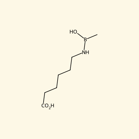 CB(O)NCCCCCC(=O)O